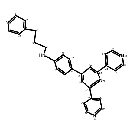 c1ccc(CCCNc2ccc(-c3cc(-c4ccncc4)nc(-c4ccncc4)c3)cc2)cc1